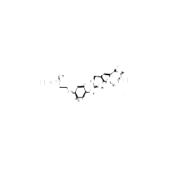 C=Cn1c(C(=O)N(C)C)cc2cnc(Nc3ccc(OCCN(C)C)c(C)c3)nc21